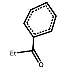 CCC(=O)c1c[c]ccc1